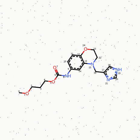 COCCCOC(=O)Nc1ccc2c(c1)N(Cc1c[nH]cn1)CCO2